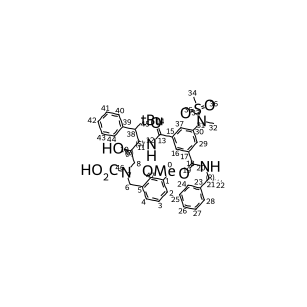 COc1cccc(CN(C[C@@H](O)[C@@H](NC(=O)c2cc(C(=O)N[C@H](C)c3ccccc3)cc(N(C)S(C)(=O)=O)c2)C(c2ccccc2)C(C)(C)C)C(=O)O)c1